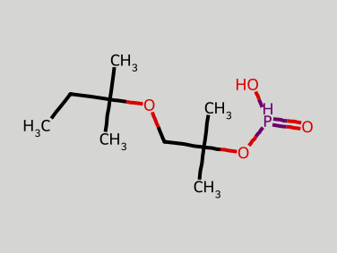 CCC(C)(C)OCC(C)(C)O[PH](=O)O